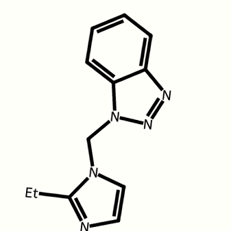 CCc1nccn1Cn1nnc2ccccc21